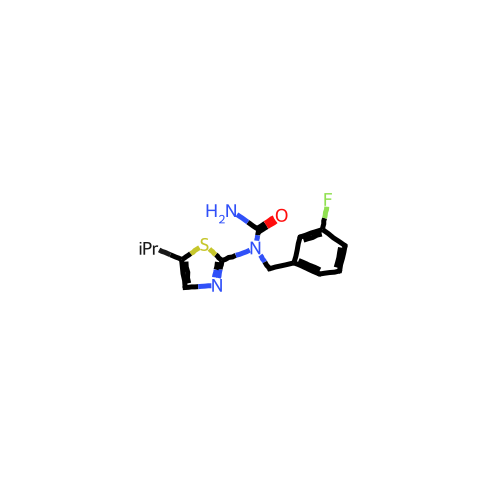 CC(C)c1cnc(N(Cc2cccc(F)c2)C(N)=O)s1